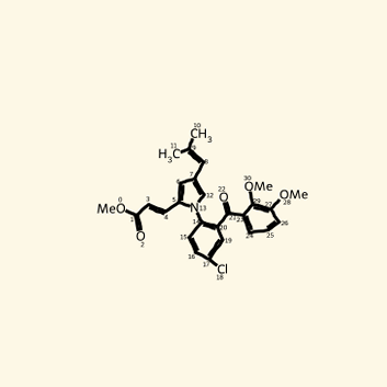 COC(=O)C=Cc1cc(C=C(C)C)cn1-c1ccc(Cl)cc1C(=O)c1cccc(OC)c1OC